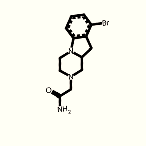 NC(=O)CN1CCN2c3cccc(Br)c3CC2C1